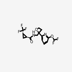 O=C(NCC1(c2cccc(OC(F)F)n2)CCO1)[C@H]1C[C@@H]1C(F)(F)F